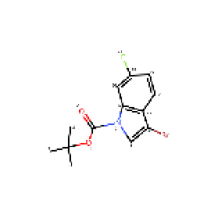 CC(C)(C)OC(=O)n1cc(Br)c2ccc(F)cc21